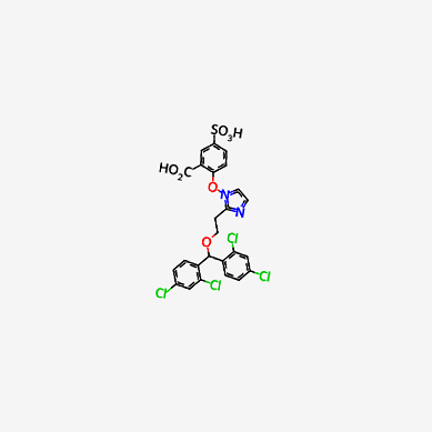 O=C(O)c1cc(S(=O)(=O)O)ccc1On1ccnc1CCOC(c1ccc(Cl)cc1Cl)c1ccc(Cl)cc1Cl